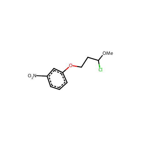 COC(Cl)CCOc1cccc([N+](=O)[O-])c1